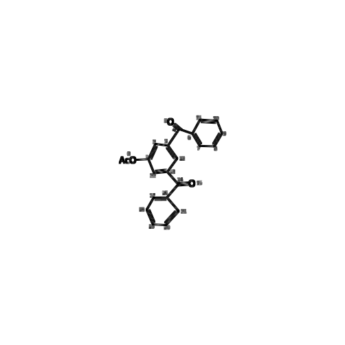 CC(=O)Oc1cc(C(=O)c2ccccc2)cc(C(=O)c2ccccc2)c1